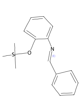 C[Si](C)(C)Oc1ccccc1/N=C/c1ccccc1